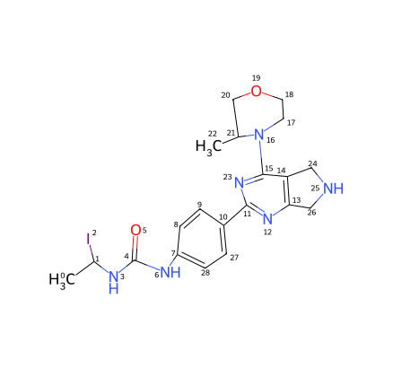 CC(I)NC(=O)Nc1ccc(-c2nc3c(c(N4CCOCC4C)n2)CNC3)cc1